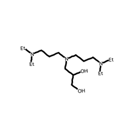 CCN(CC)CCCN(CCCN(CC)CC)CC(O)CO